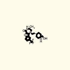 C[C@@H]1CN(CC[C@H]2CC[C@](O)(CO)CC2)c2c(oc3ccc(C(F)(F)F)cc23)C(=O)N1